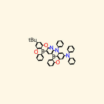 CC(C)(C)c1cc2c3c(c1)Oc1nc4c(cc1B3c1ccccc1O2)B1c2ccccc2Oc2cc(N(c3ccccc3)c3ccccc3)cc(c21)N4c1ccccc1